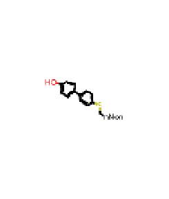 CCCCCCCCCCSc1ccc(-c2ccc(O)cc2)cc1